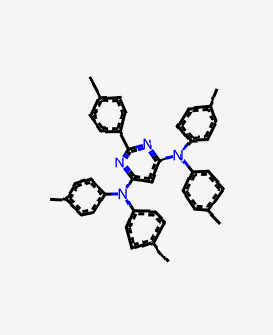 Cc1ccc(-c2nc(N(c3ccc(C)cc3)c3ccc(C)cc3)cc(N(c3ccc(C)cc3)c3ccc(C)cc3)n2)cc1